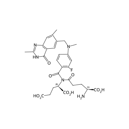 Cc1nc2cc(C)c(CN(C)c3ccc(C(=O)N(C(=O)CC[C@H](N)C(=O)O)[C@H](CCC(=O)O)C(=O)O)c(F)c3)cc2c(=O)[nH]1